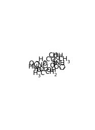 C=C(C)[C@@]1(O)[C@H](O)[C@@H](COP(=S)(N[C@@H](C)C(O)OC(C)C)Oc2ccccc2)O[C@H]1n1ccc(=O)[nH]c1=O